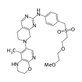 COCCOCCS(=O)(=O)Cc1ccc(Nc2ncc3c(n2)CN(c2cnc4c(c2C)NCCO4)CC3)cc1